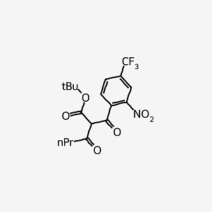 CCCC(=O)C(C(=O)OC(C)(C)C)C(=O)c1ccc(C(F)(F)F)cc1[N+](=O)[O-]